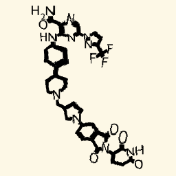 NC(=O)c1ncc(-n2ccc(C(F)(F)F)n2)nc1Nc1ccc(C2CCN(CC3CCN(c4ccc5c(c4)C(=O)N(C4CCC(=O)NC4=O)C5=O)C3)CC2)cc1